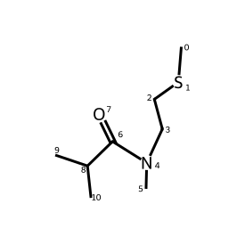 CSCCN(C)C(=O)C(C)C